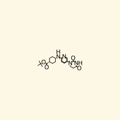 CC(C)(C)OC(=O)[C@H]1CC[C@H](Nc2ccc(N3CCC(=O)NC3=O)cn2)CC1